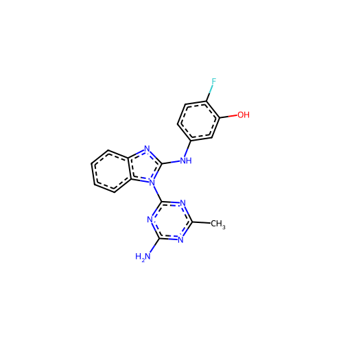 Cc1nc(N)nc(-n2c(Nc3ccc(F)c(O)c3)nc3ccccc32)n1